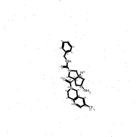 N[C@@H]1C[C@H]2CN(C(=S)NCc3ccccc3)C[C@@]2(C(=O)N2CCc3ncc(C(F)(F)F)cc3C2)C1